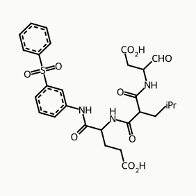 CC(C)CC(C(=O)NC(C=O)CC(=O)O)C(=O)NC(CCC(=O)O)C(=O)Nc1cccc(S(=O)(=O)c2ccccc2)c1